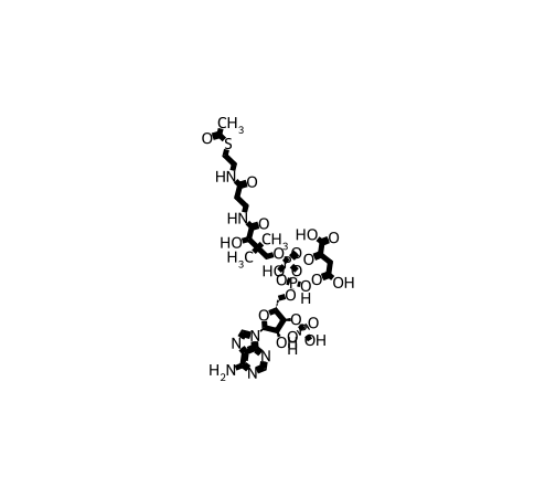 CC(=O)SCCNC(=O)CCNC(=O)C(O)C(C)(C)COP(=O)(O)OP(=O)(O)OC[C@H]1O[C@@H](n2cnc3c(N)ncnc32)[C@H](O)[C@@H]1OP(=O)(O)O.O=C(O)CC(=O)C(=O)O